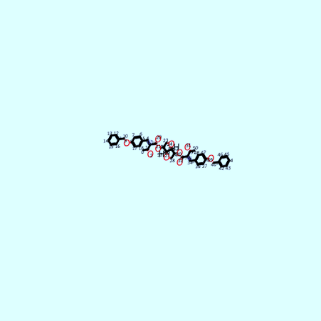 CC(=O)/C(=C\c1ccc(OCc2ccccc2)cc1)C(=O)O[C@@H]1CO[C@H]2[C@@H]1OC[C@H]2OC(=O)/C(=C/c1ccc(OCc2ccccc2)cc1)C(C)=O